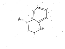 CC(C)[C@H]1CCNc2ccccc21